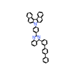 c1ccc(-c2ccc(-c3cccc(-c4nc(-c5ccc(-n6c7ccc8ccccc8c7c7c8ccccc8ccc76)cc5)nc5ccccc45)c3)cc2)cc1